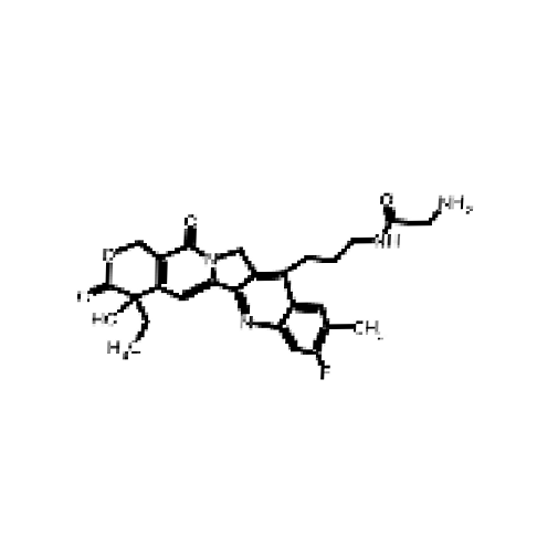 CCC1(O)C(=O)OCc2c1cc1n(c2=O)Cc2c-1nc1cc(F)c(C)cc1c2CCCNC(=O)CN